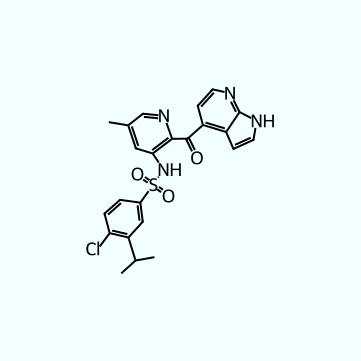 Cc1cnc(C(=O)c2ccnc3[nH]ccc23)c(NS(=O)(=O)c2ccc(Cl)c(C(C)C)c2)c1